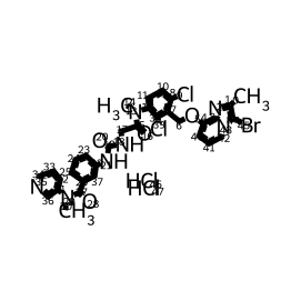 Cc1nc2c(OCc3c(Cl)ccc(N(C)C(=O)CNC(=O)Nc4cccc(C(=O)N(C)c5cccnc5)c4)c3Cl)cccn2c1Br.Cl.Cl